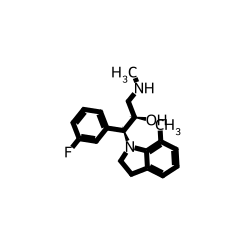 CNC[C@@H](O)[C@H](c1cccc(F)c1)N1CCc2cccc(C)c21